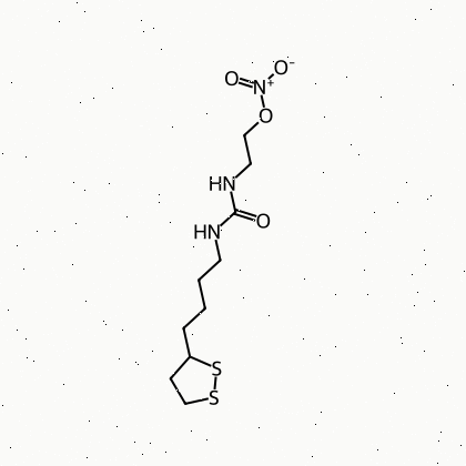 O=C(NCCCCC1CCSS1)NCCO[N+](=O)[O-]